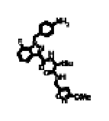 COc1cc(CNC(=O)C(NC(=O)c2nn(Cc3ccc(N)cc3)c3c(F)cccc23)C(C)(C)C)on1